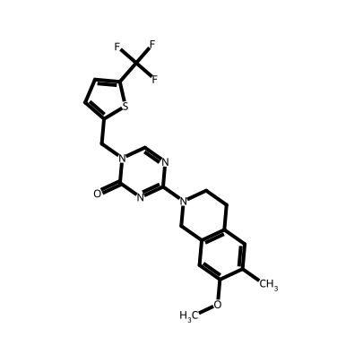 COc1cc2c(cc1C)CCN(c1ncn(Cc3ccc(C(F)(F)F)s3)c(=O)n1)C2